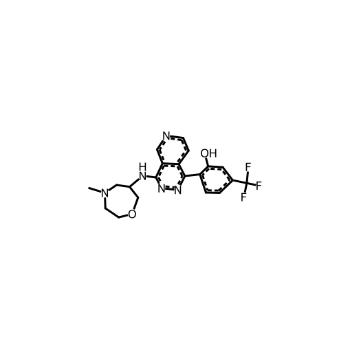 CN1CCOCC(Nc2nnc(-c3ccc(C(F)(F)F)cc3O)c3ccncc23)C1